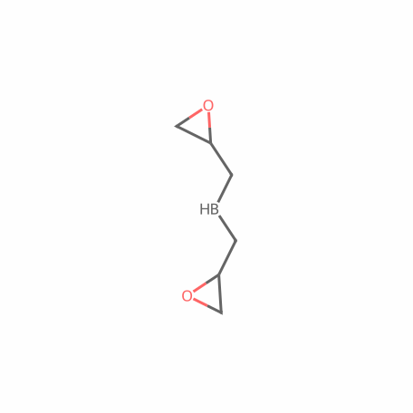 B(CC1CO1)CC1CO1